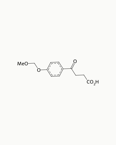 COCOc1ccc(C(=O)CCC(=O)O)cc1